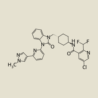 Cn1cc(-c2cccc(-n3c(=O)n(C[C@H]4CC[C@H](NC(=O)c5cc(Cl)cnc5C(F)F)CC4)c4ccccc43)n2)cn1